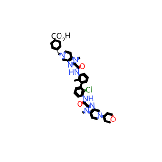 Cc1c(NC(=O)c2nc3c(n2C)CCN(C[C@H]2CC[C@H](C(=O)O)CC2)C3)cccc1-c1cccc(NC(=O)c2nc3c(n2C)CCN(C2CCOCC2)C3)c1Cl